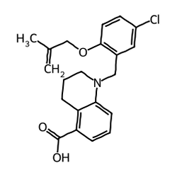 C=C(C)COc1ccc(Cl)cc1CN1CCCc2c(C(=O)O)cccc21